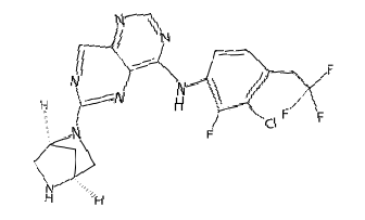 Fc1c(Nc2ncnc3cnc(N4C[C@@H]5C[C@H]4CN5)nc23)ccc(CC(F)(F)F)c1Cl